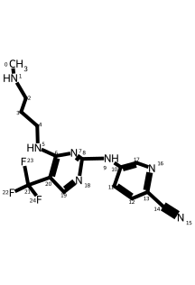 CNCCCNc1nc(Nc2ccc(C#N)nc2)ncc1C(F)(F)F